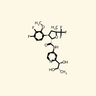 COc1c([C@H]2C[C@@](C)(C(F)(F)F)O[C@@H]2C(=O)Nc2ccnc([C@@H](O)[C@H](C)O)c2)ccc(F)c1F